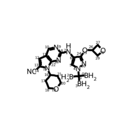 BC(B)(B)n1cc(Nc2ncc3cc(C#N)n(C4CCOCC4)c3n2)c(OC2COC2)n1